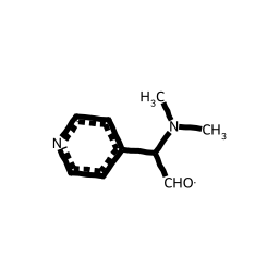 CN(C)C([C]=O)c1ccncc1